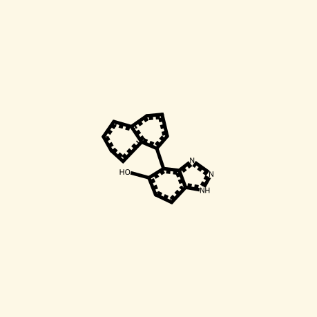 Oc1ccc2[nH]nnc2c1-c1cccc2ccccc12